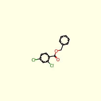 O=C(OCc1ccccc1)c1ccc(Cl)cc1Cl